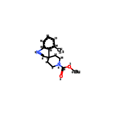 CC(C)(C)OC(=O)N1CCC2(C=Nc3cccc(C(F)(F)F)c32)CC1